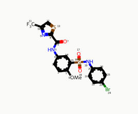 COc1ccc(NC(=O)c2nc(C(F)(F)F)cs2)cc1S(=O)(=O)Nc1ccc(Br)cc1